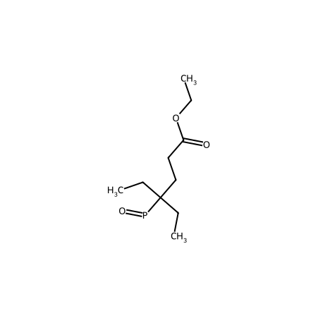 CCOC(=O)CCC(CC)(CC)P=O